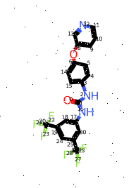 O=C(Nc1ccc(Oc2cccnc2)cc1)Nc1cc(C(F)(F)F)cc(C(F)(F)F)c1